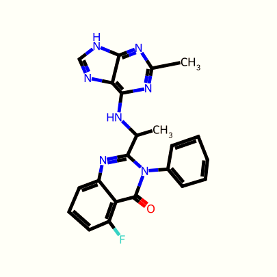 Cc1nc(NC(C)c2nc3cccc(F)c3c(=O)n2-c2ccccc2)c2nc[nH]c2n1